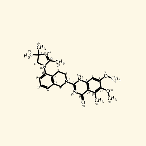 COc1cc2[nH]c(N3CCc4c(cccc4N4CC(C)(C)N=C4C)C3)nc(=O)c2c(C)c1OC